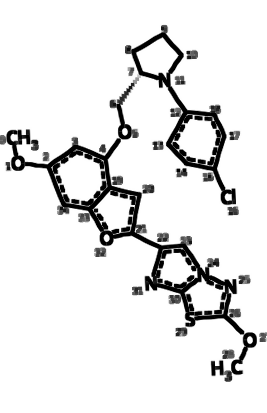 COc1cc(OC[C@@H]2CCCN2c2ccc(Cl)cc2)c2cc(-c3cn4nc(OC)sc4n3)oc2c1